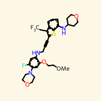 COCCOc1cc(N2CCOCC2)c(F)cc1NCC#Cc1sc2c(NC3CCOCC3)cccc2c1CC(F)(F)F